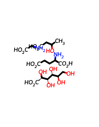 CC(O)CC(=O)O.NC(CCC(=O)O)C(=O)O.NCC(=O)O.O=C(O)[C@H](O)[C@@H](O)[C@H](O)[C@H](O)CO